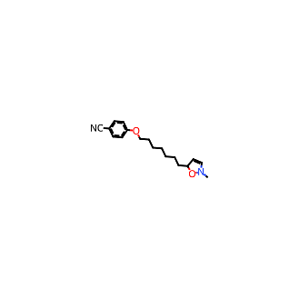 CN1C=CC(CCCCCCCOc2ccc(C#N)cc2)O1